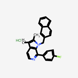 Cc1c(C)n(Cc2ccc3ccccc3c2)c2c(-c3ccc(F)cc3)nccc12.Cl